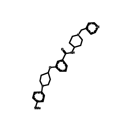 CNc1ccc(N2CCC(Oc3cccc(C(=O)NC4CCN(Cc5ccncc5)CC4)c3)CC2)cc1